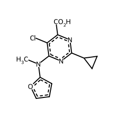 CN(c1ccco1)c1nc(C2CC2)nc(C(=O)O)c1Cl